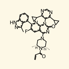 C=CC(=O)N1[C@H](C)CN(c2nc(=O)n(-c3c(C4CC4)ncnc3C3CC3)c3nc(-c4cccc5[nH]nc(C)c45)c(F)cc23)C[C@@H]1C